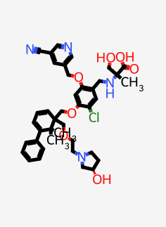 CC(CO)(NCc1cc(Cl)c(OCC2(COCCN3CC[C@@H](O)C3)C=CC=C(c3ccccc3)C2(C)C)cc1OCc1cncc(C#N)c1)C(=O)O